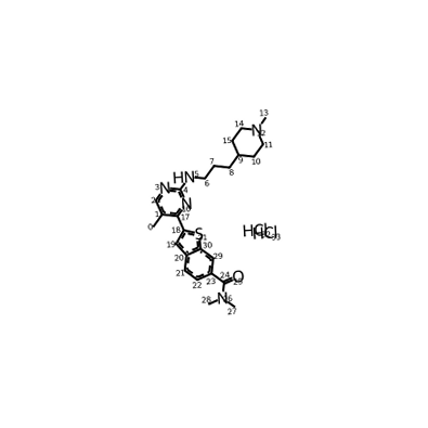 Cc1cnc(NCCCC2CCN(C)CC2)nc1-c1cc2ccc(C(=O)N(C)C)cc2s1.Cl.Cl